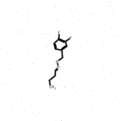 CCCC=NOCc1ccc(F)c(F)c1